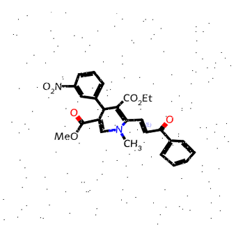 CCOC(=O)C1=C(/C=C/C(=O)c2ccccc2)N(C)C=C(C(=O)OC)C1c1cccc([N+](=O)[O-])c1